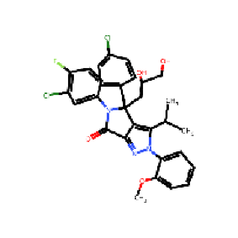 COc1ccccc1-n1nc2c(c1C(C)C)C(CC(O)CO)(c1ccc(Cl)cc1)N(c1ccc(F)c(Cl)c1)C2=O